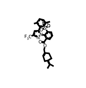 CC(C)=C1CC=C(COC(=O)c2cccc(S(N)(=O)=O)c2-n2nc(C(F)(F)F)cc2-c2cc(C)ccc2C)CC1